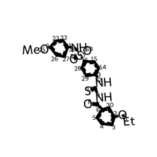 CCOc1cccc(C(=O)NC(=S)Nc2ccc(S(=O)(=O)Nc3ccc(OC)cc3)cc2)c1